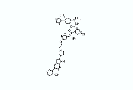 Cc1ncsc1-c1ccc([C@H](C)NC(=O)[C@@H]2C[C@@H](O)CN2C(=O)[C@@H](c2cc(OCCN3CCC(c4cc5cc(-c6ccccc6O)nnc5[nH]4)C3)no2)C(C)C)cc1